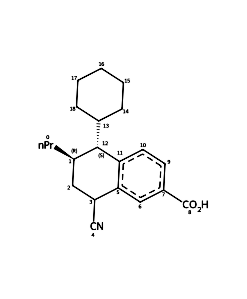 CCC[C@@H]1CC(C#N)c2cc(C(=O)O)ccc2[C@H]1C1CCCCC1